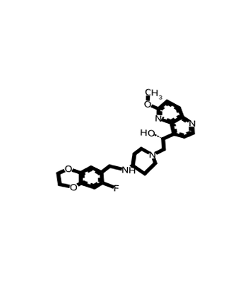 COc1ccc2nccc([C@@H](O)CN3CCC(NCc4cc5c(cc4F)OCCO5)CC3)c2n1